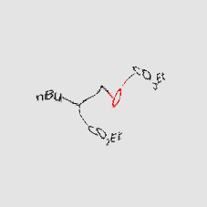 CCCCC(COC(=O)OCC)C(=O)OCC